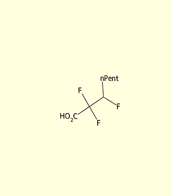 CCCCCC(F)C(F)(F)C(=O)O